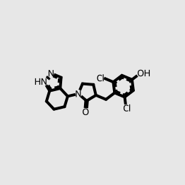 O=C1C(Cc2c(Cl)cc(O)cc2Cl)CCN1C1CCCc2[nH]ncc21